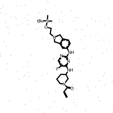 C=CC(=O)N1CCCC(Nc2nc(Nc3ccc4c(c3)CN(CCO[Si](C)(C)C(C)(C)C)C4)ncc2F)C1